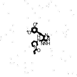 C=CC(=O)N1CCCC(Nc2n[nH]c3ncnc(C#Cc4cc(OC)cc(OC)c4)c23)C1